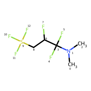 CN(C)C(F)(F)C(F)CS(F)(F)F